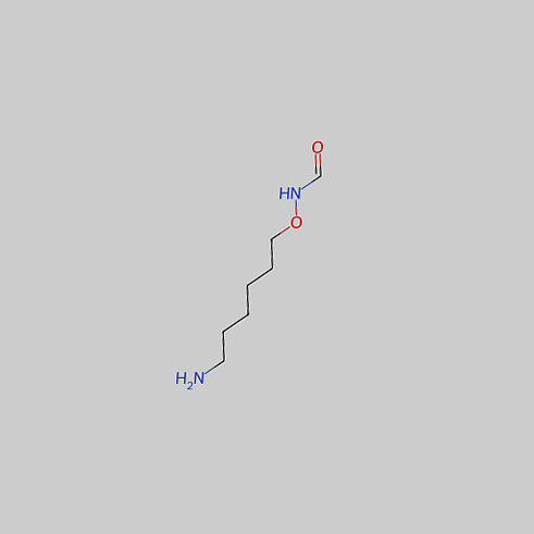 NCCCCCCONC=O